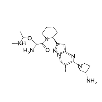 CNC(C)OC(N)C(=O)N1CCCC[C@H]1c1cc2nc(N3CC[C@H](N)C3)c(C)cn2n1